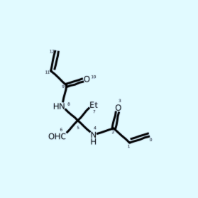 C=CC(=O)NC(C=O)(CC)NC(=O)C=C